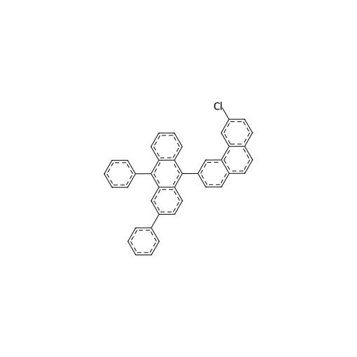 Clc1ccc2ccc3ccc(-c4c5ccccc5c(-c5ccccc5)c5cc(-c6ccccc6)ccc45)cc3c2c1